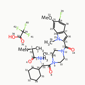 CN[C@@H](C)C(=O)N[C@H](C(=O)N1CCN(C(=O)c2cc3cc(F)c(OC)cc3n2C)C[C@H]1C)C1CCCCC1.O=C(O)C(F)(F)F